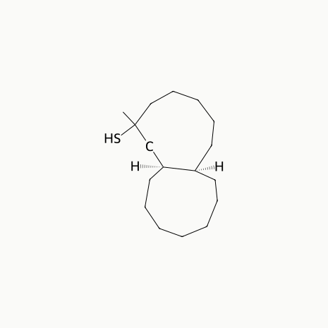 CC1(S)CCCCC[C@H]2CCCCCCC[C@H]2C1